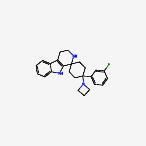 Fc1cccc(C2(N3CCC3)CCC3(CC2)NCCc2c3[nH]c3ccccc23)c1